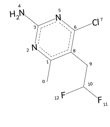 Cc1nc(N)nc(Cl)c1CC(F)F